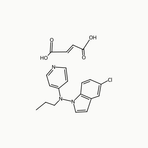 CCCN(c1ccncc1)n1ccc2cc(Cl)ccc21.O=C(O)C=CC(=O)O